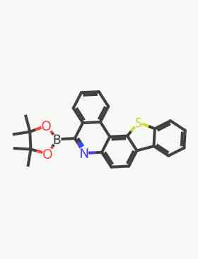 CC1(C)OB(c2nc3ccc4c5ccccc5sc4c3c3ccccc23)OC1(C)C